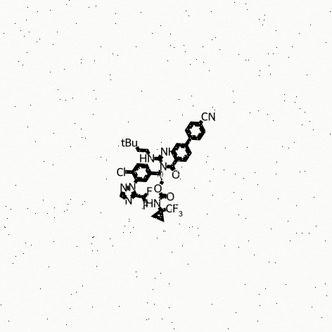 CC(C)(C)CCNC(=N)N(C(=O)c1ccc(-c2ccc(C#N)cc2)cc1)[C@H](COC(=O)NC1(C(F)(F)F)CC1)c1ccc(Cl)c(-n2ncnc2C(F)F)c1